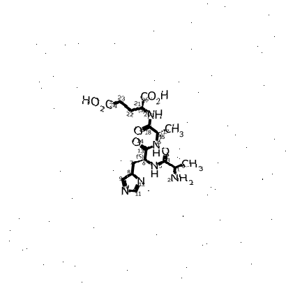 CC(N)C(=O)N[C@@H](CC1C=NC=N1)C(=O)N[C@@H](C)C(=O)N[C@@H](CCC(=O)O)C(=O)O